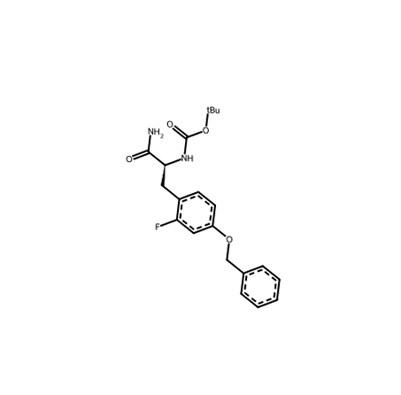 CC(C)(C)OC(=O)N[C@@H](Cc1ccc(OCc2ccccc2)cc1F)C(N)=O